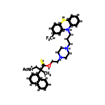 CC(=O)NCC(C)(C(=S)OCCN1CCN(CCCN2c3ccccc3Sc3ccc(C(F)(F)F)cc32)CC1)c1cccc2ccccc12